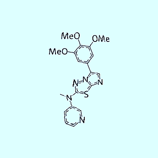 COc1cc(-c2cnc3sc(N(C)c4cccnc4)nn23)cc(OC)c1OC